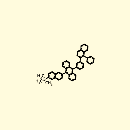 C[Si](C)(C)c1ccc2cc(-c3c4ccccc4c(-c4cccc(-c5ccc6ccccc6c5-c5ccccc5)c4)c4ccccc34)ccc2c1